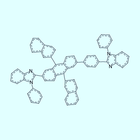 c1ccc(-n2c(-c3ccc(-c4ccc5c(-c6ccc7ccccc7c6)c6cc(-c7nc8ccccc8n7-c7ccccc7)ccc6c(-c6ccc7ccccc7c6)c5c4)cc3)nc3ccccc32)cc1